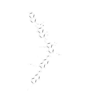 Nc1c(N=Nc2ccc3c(O)c(N=Nc4ccc5cc(S(=O)(=O)O)ccc5c4)c(S(=O)(=O)O)cc3c2S(=O)(=O)O)cc(S(=O)(=O)O)c2cc(SOOO)c(N=Nc3ccc4c(O)c(N=Nc5ccc6cc(SOOO)ccc6c5)c(SOOO)cc4c3S(=O)(=O)O)c(O)c12